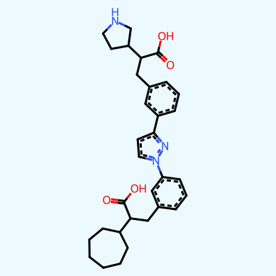 O=C(O)C(Cc1cccc(-n2ccc(-c3cccc(CC(C(=O)O)C4CCNC4)c3)n2)c1)C1CCCCCC1